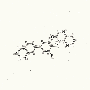 O=c1cnc2cccnc2n1Cc1c(F)cc(-c2ccc3cnccc3c2)cc1F